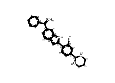 C=C(c1ccccc1)c1ccc2cc(-c3ccc(C4OCCCO4)cc3F)oc2c1